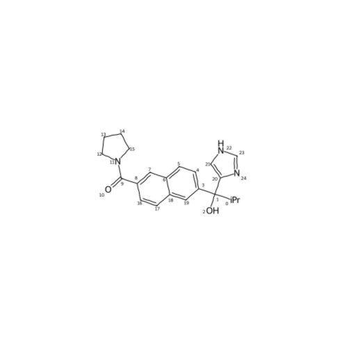 CC(C)C(O)(c1ccc2cc(C(=O)N3CCCC3)ccc2c1)c1c[nH]cn1